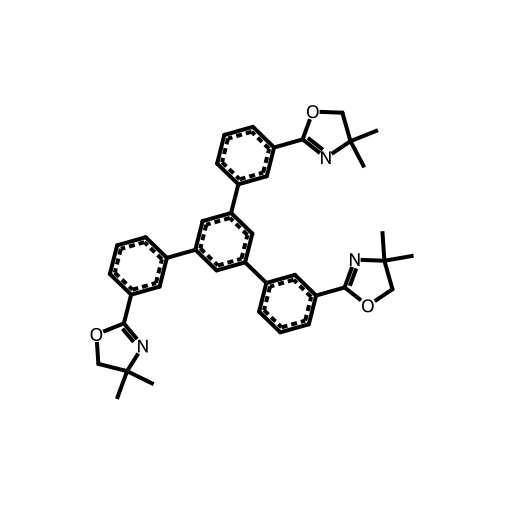 CC1(C)COC(c2cccc(-c3cc(-c4cccc(C5=NC(C)(C)CO5)c4)cc(-c4cccc(C5=NC(C)(C)CO5)c4)c3)c2)=N1